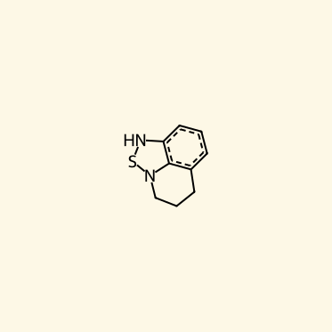 c1cc2c3c(c1)NSN3CCC2